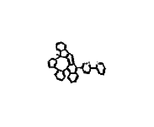 CC12c3cccc(c3)-c3ccccc3-c3c4ccccc4c(-c4ccc(-c5ccccn5)nc4)c4cc(c1cc34)-c1ccccc12